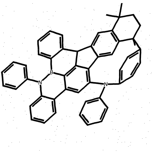 CC1(C)CCC2(C)c3ccc(cc3)N(c3ccccc3)c3cc4c5c6c3-c3cc2c1cc3C6c1ccccc1B5N(c1ccccc1)c1ccccc1-4